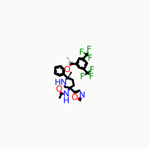 CC(=O)NC1(c2cnco2)CC[C@@](CO[C@H](C)c2cc(C(F)(F)F)cc(C(F)(F)F)c2)(c2ccccc2)NC1